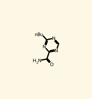 CCCCc1ncnc(C(N)=O)n1